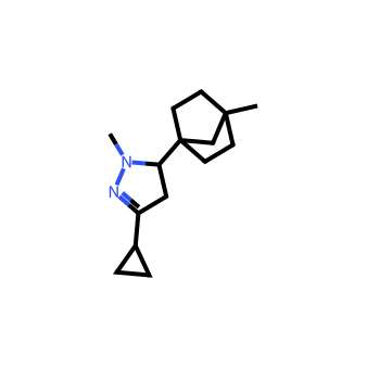 CN1N=C(C2CC2)CC1C12CCC(C)(CC1)C2